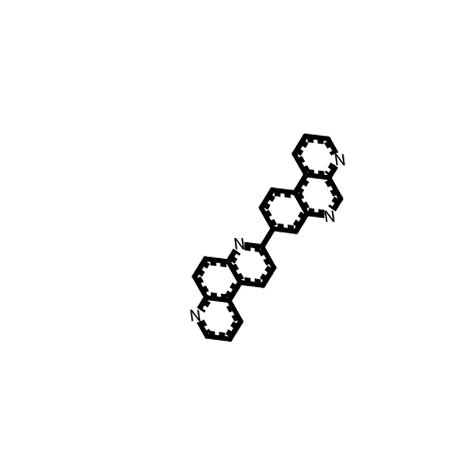 c1cnc2cnc3cc(-c4ccc5c(ccc6ncccc65)n4)ccc3c2c1